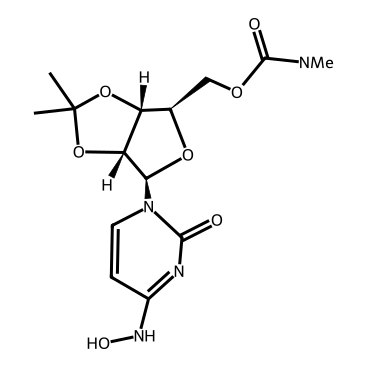 CNC(=O)OC[C@H]1O[C@@H](n2ccc(NO)nc2=O)[C@@H]2OC(C)(C)O[C@@H]21